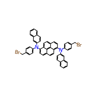 BrCc1ccc(N(c2ccc3ccccc3c2)c2ccc3ccc4c(N(c5ccc(CBr)cc5)c5ccc6ccccc6c5)ccc5ccc2c3c54)cc1